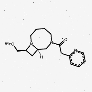 COC[C@@H]1C[C@@H]2CN(C(=O)Cc3ccccn3)CCCCN12